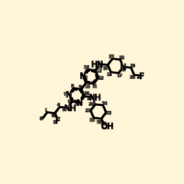 CC[C@H](F)CNc1ncc(-c2ccc(NC3CCN(CCF)CC3)cn2)c(N[C@H]2CC[C@H](O)CC2)n1